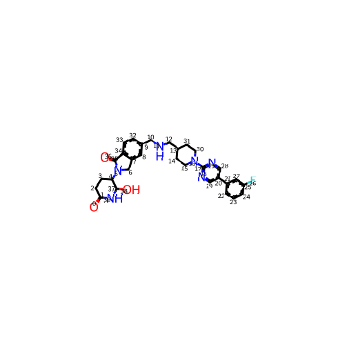 O=C1CCC(N2Cc3cc(CNCC4CCN(c5ncc(-c6cccc(F)c6)cn5)CC4)ccc3C2=O)C(O)N1